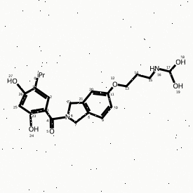 CC(C)c1cc(C(=O)N2Cc3ccc(OCCCNC(O)O)cc3C2)c(O)cc1O